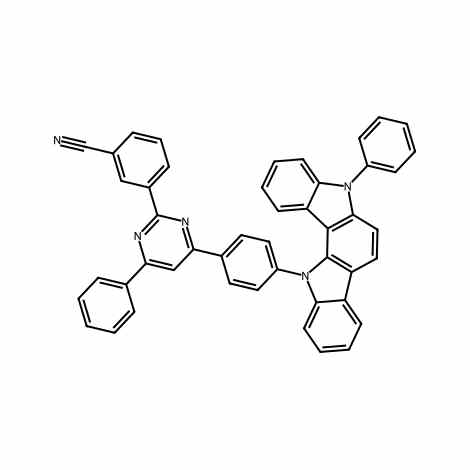 N#Cc1cccc(-c2nc(-c3ccccc3)cc(-c3ccc(-n4c5ccccc5c5ccc6c(c7ccccc7n6-c6ccccc6)c54)cc3)n2)c1